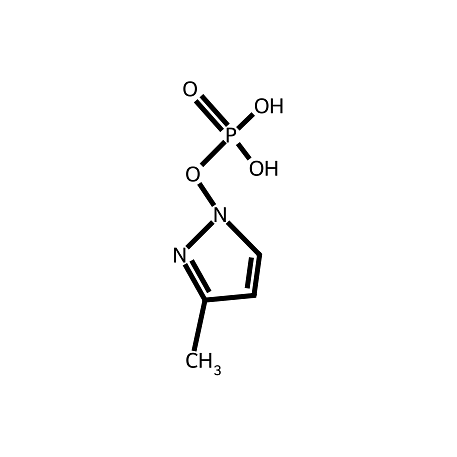 Cc1ccn(OP(=O)(O)O)n1